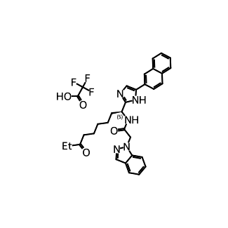 CCC(=O)CCCCC[C@H](NC(=O)Cn1ncc2ccccc21)c1ncc(-c2ccc3ccccc3c2)[nH]1.O=C(O)C(F)(F)F